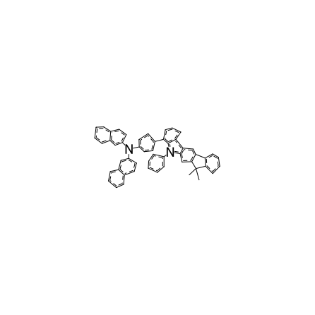 CC1(C)c2ccccc2-c2cc3c4cccc(-c5ccc(N(c6ccc7ccccc7c6)c6ccc7ccccc7c6)cc5)c4n(-c4ccccc4)c3cc21